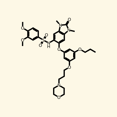 CCCOc1cc(OCCCN2CCOCC2)cc(Oc2cc3c(cc2NS(=O)(=O)c2ccc(OC)c(OC)c2)n(C)c(=O)n3C)c1